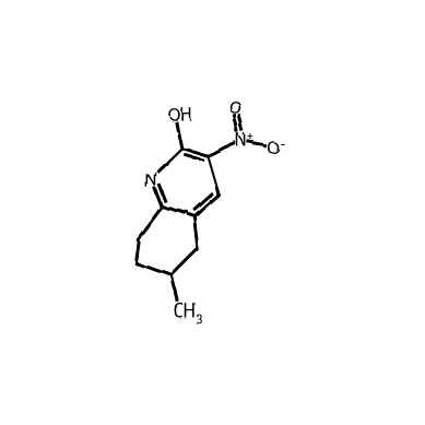 CC1CCc2nc(O)c([N+](=O)[O-])cc2C1